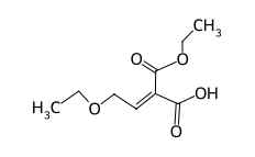 CCOCC=C(C(=O)O)C(=O)OCC